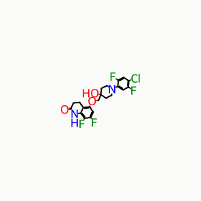 O=C1CCc2c(OCC3(O)CCN(c4cc(F)c(Cl)cc4F)CC3)cc(F)c(F)c2N1